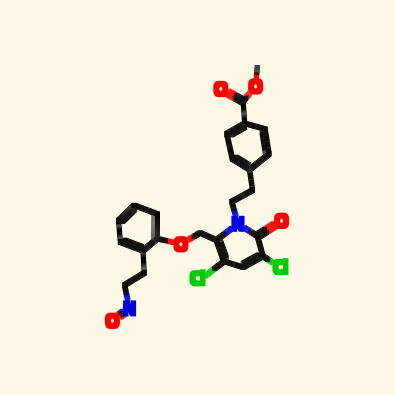 COC(=O)c1ccc(CCn2c(COc3ccccc3CCN=O)c(Cl)cc(Cl)c2=O)cc1